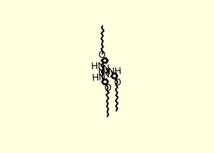 CCCCCCCCCCCOc1ccc(Nc2nc(Nc3ccc(OCCCCCCCCCCC)cc3)nc(Nc3cccc(OCCCCCCCCCCC)c3)n2)cc1